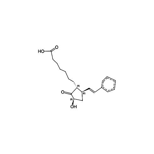 O=C(O)CCCCCC[C@H]1C(=O)[C@H](O)C[C@@H]1C=Cc1ccccc1